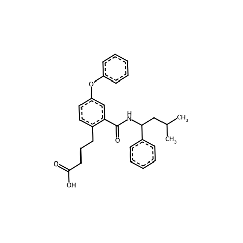 CC(C)CC(NC(=O)c1cc(Oc2ccccc2)ccc1CCCC(=O)O)c1ccccc1